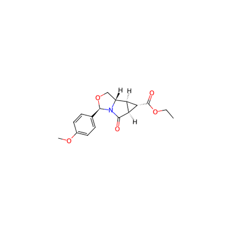 CCOC(=O)[C@@H]1[C@H]2C(=O)N3[C@@H](c4ccc(OC)cc4)OC[C@@H]3[C@@H]12